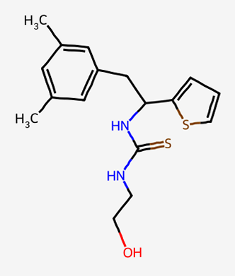 Cc1cc(C)cc(CC(NC(=S)NCCO)c2cccs2)c1